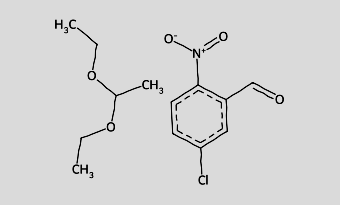 CCOC(C)OCC.O=Cc1cc(Cl)ccc1[N+](=O)[O-]